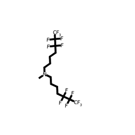 CN(CCCCC(F)(F)C(F)(F)C(F)(F)F)CCCCC(F)(F)C(F)(F)C(F)(F)F